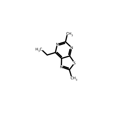 CCc1nc(C)nc2sc(C)nc12